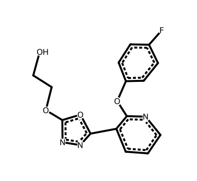 OCCOc1nnc(-c2cccnc2Oc2ccc(F)cc2)o1